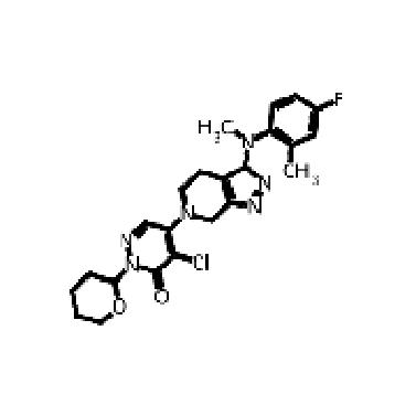 Cc1cc(F)ccc1N(C)C1N=NC2=C1CCN(c1cnn(C3CCCCO3)c(=O)c1Cl)C2